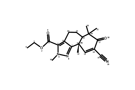 CCOC(=O)c1c2c(nn1C)[C@@]1(C)C=C(C#N)C(=O)C(C)(C)C1CC2